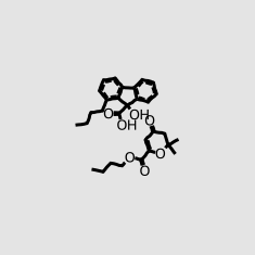 CCCCOC(=O)C1=CC(=O)CC(C)(C)O1.CCCCc1cccc2c1C(O)(C(=O)O)c1ccccc1-2